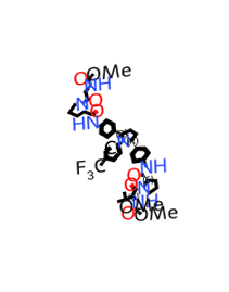 COC(=O)NCC(=O)N1CCCC1C(=O)Nc1ccc([C@H]2CC[C@H](c3ccc(NC(=O)[C@@H]4CCCN4C(=O)[C@@H](NC(=O)OC)C(C)(C)OC)cc3)N2c2ccc(C(F)(F)F)cc2)cc1